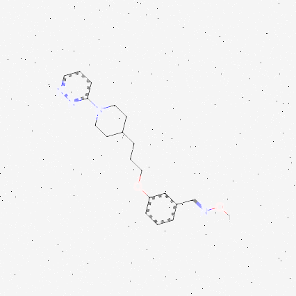 CCON=Cc1cccc(OCCCC2CCN(c3cccnn3)CC2)c1